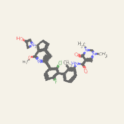 COc1nc(-c2ccc(F)c(-c3cccc(NC(=O)C4=CN(C)CN(C)C4=O)c3C)c2Cl)cc2c1[C@H](N1CC(O)C1)CC2